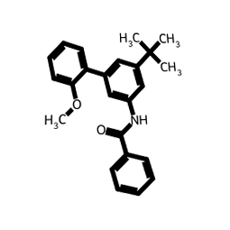 COc1ccccc1-c1cc(NC(=O)c2ccccc2)cc(C(C)(C)C)c1